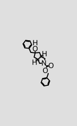 O=C(OCc1ccccc1)N1C[C@@H]2CC(O)(Cc3ccccc3)C[C@@H]2C1